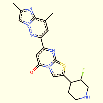 Cc1cn2nc(-c3cc(=O)n4cc(C5CCNC[C@@H]5F)sc4n3)cc(C)c2n1